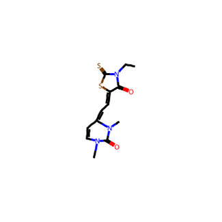 CCN1C(=O)/C(=C/C=C2/C=CN(C)C(=O)N2C)SC1=S